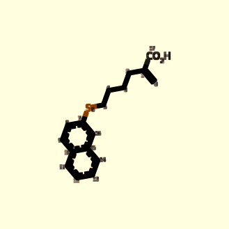 C=C(CCCCSc1ccc2ccccc2c1)C(=O)O